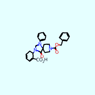 O=C(O)C1=CC=CCC1N1CN(c2ccccc2)C2(CCN(C(=O)OCc3ccccc3)CC2)C1=O